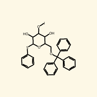 OC1C(COC(c2ccccc2)(c2ccccc2)c2ccccc2)OC(Sc2ccccc2)C(O)C1OI